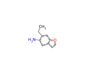 CCc1cc2occc2cc1N